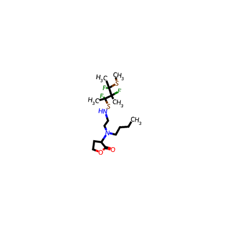 CCCCN(CCNSC(C)(F)C(C)(F)C(C)(F)SC)C1CCOC1=O